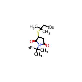 CCCC(C)(C)N1C(=O)CC(SC(C)(C)CC(C)(C)C)C1=O